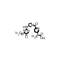 COc1nc(N[C@H]2CCN(C(=O)c3ccc(N(C)C(=O)O)cn3)C2)ncc1Cl